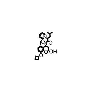 CC(C)CC(C(=O)NC(CC(=O)O)c1cccc(OC2CCC2)c1)n1ccccc1=O